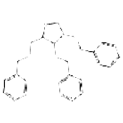 c1ccc(COCC2NCC(OCc3ccccc3)C2OCc2ccccc2)cc1